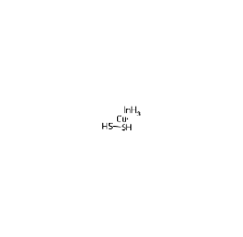 SS.[Cu].[InH3]